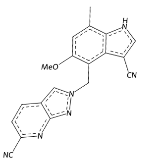 COc1cc(C)c2[nH]cc(C#N)c2c1Cn1cc2ccc(C#N)nc2n1